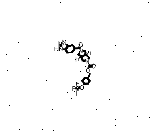 O=C(OCc1ccc(OC(F)(F)F)cc1)N1C[C@@H]2CN(C(=O)C3CCc4[nH]nnc4C3)C[C@H]2C1